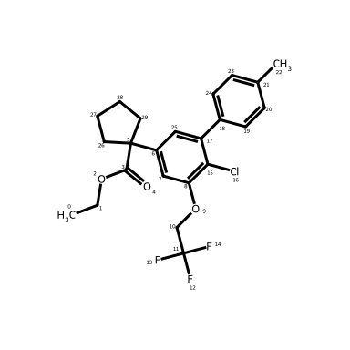 CCOC(=O)C1(c2cc(OCC(F)(F)F)c(Cl)c(-c3ccc(C)cc3)c2)CCCC1